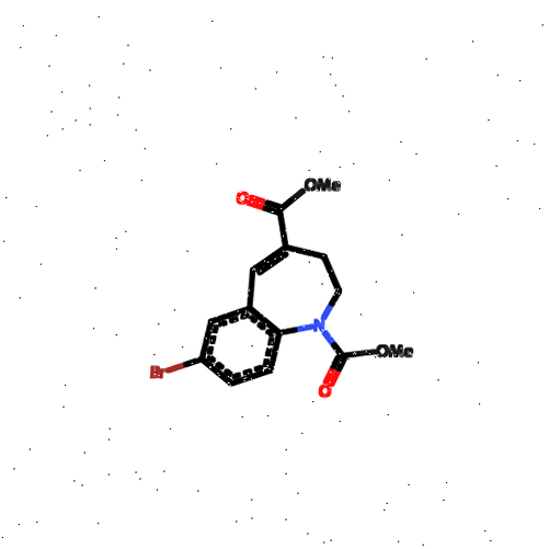 COC(=O)C1=Cc2cc(Br)ccc2N(C(=O)OC)CC1